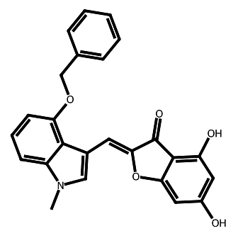 Cn1cc(C=C2Oc3cc(O)cc(O)c3C2=O)c2c(OCc3ccccc3)cccc21